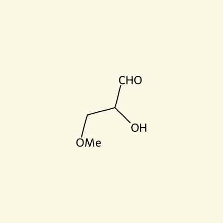 COCC(O)C=O